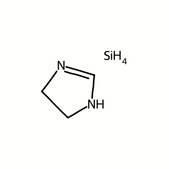 C1=NCCN1.[SiH4]